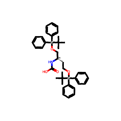 CC(C)(C)[Si](OCC[C@@H](CO[Si](c1ccccc1)(c1ccccc1)C(C)(C)C)NC(=O)O)(c1ccccc1)c1ccccc1